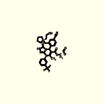 COC(=O)C1=C(C)N(c2cccc(C(F)(F)F)c2)c2n[nH]c(=O)n2C1c1ccc(C#N)cc1C[N+]1(CCO)CCCC1.O=C[O-]